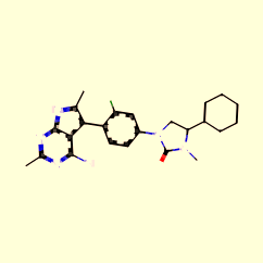 Cc1nc(N)c2c(-c3ccc(N4CC(C5CCCCC5)N(C)C4=O)cc3F)c(C)[nH]c2n1